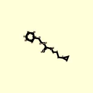 O=C([N]CCCC1CC1)OCCc1ccccc1